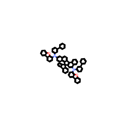 c1ccc(-c2cccc(N(c3ccc4c5c(ccc4c3)-c3c(cc(N(c4cccc(-c6ccccc6)c4)c4cccc6c4oc4ccccc46)c4ccccc34)C53c4ccccc4-c4ccccc43)c3cccc4c3oc3ccccc34)c2)cc1